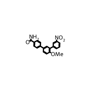 COc1ccc(-c2ccc(C(N)=O)cc2)cc1-c1cccc([N+](=O)[O-])c1